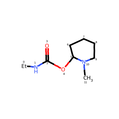 CCNC(=O)O[C]1CCCCN1C